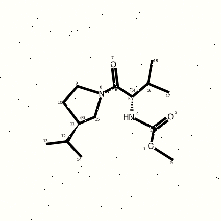 COC(=O)N[C@H](C(=O)N1CC[C@H](C(C)C)C1)C(C)C